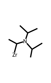 CC(C)N(C(C)C)[CH](C)[Zr]